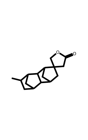 CC1CC2CC1C1C2C2CC1C1(COC(=O)C1)C2